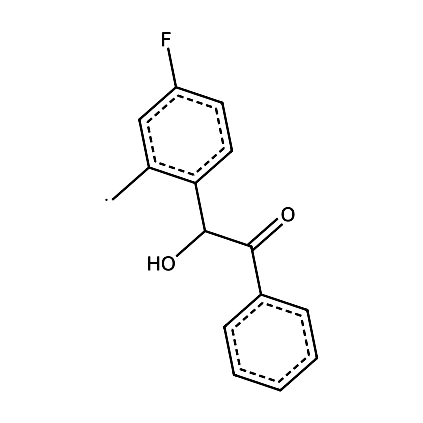 [CH2]c1cc(F)ccc1C(O)C(=O)c1ccccc1